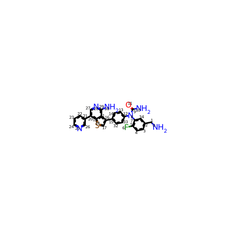 NCc1ccc(F)c(N(C(N)=O)c2ccc(-c3csc4c(-c5cccnc5)cnc(N)c34)cc2)c1